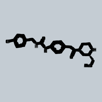 COC[C@@H]1CN(C(=O)Cc2ccc(NC(=O)NCc3ccc(Cl)cc3)cc2)CCN1